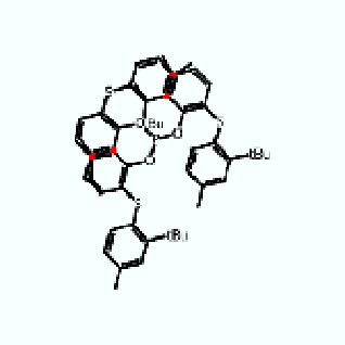 Cc1ccc(Sc2ccc(C)cc2C(C)(C)C)c(OP(Oc2cc(C)ccc2Sc2ccc(C)cc2C(C)(C)C)Oc2cc(C)ccc2Sc2ccc(C)cc2C(C)(C)C)c1